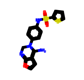 NC1=c2ccoc2=NCN1c1ccc(NS(=O)(=O)c2cccs2)cc1